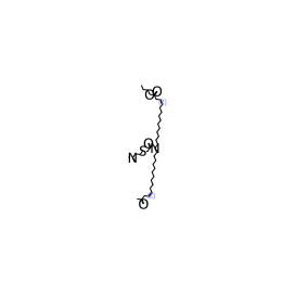 CCCOC(=O)C/C=C\CCCCCCCCCCN(CCCCCCCCCC/C=C\CC(C)=O)C(=O)CSCCN(C)C